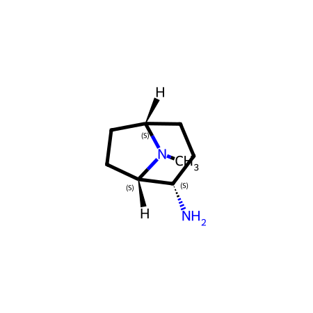 CN1[C@H]2CC[C@H](N)[C@@H]1CC2